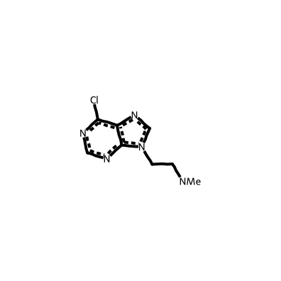 CNCCn1cnc2c(Cl)ncnc21